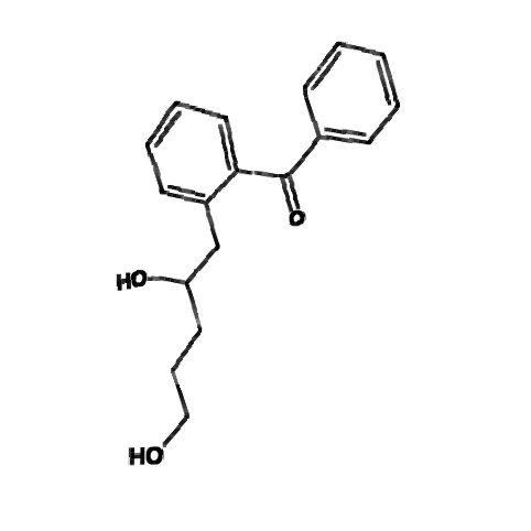 O=C(c1ccccc1)c1ccccc1CC(O)CCCO